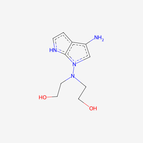 Nc1cn(N(CCO)CCO)c2[nH]ccc12